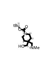 CNCC1(CO)CCN(C(=O)OC(C)(C)C)CC1